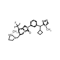 Cn1cnnc1C(c1cccc(-n2cc3c(C(F)(F)F)cc(CN4CCC[Si@@H]4C)cn3c2=O)c1)C1CCC1